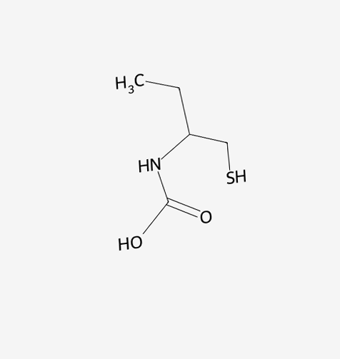 CCC(CS)NC(=O)O